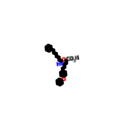 O=C(O)CCC(CCc1ccc(Oc2ccccc2)cc1)NC(=O)CCCCCCc1ccccc1